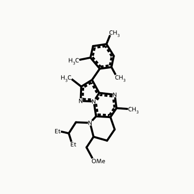 CCC(CC)CN1c2c(c(C)nc3c(-c4c(C)cc(C)cc4C)c(C)nn23)CCC1COC